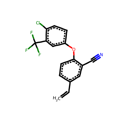 C=Cc1ccc(Oc2ccc(Cl)c(C(F)(F)F)c2)c(C#N)c1